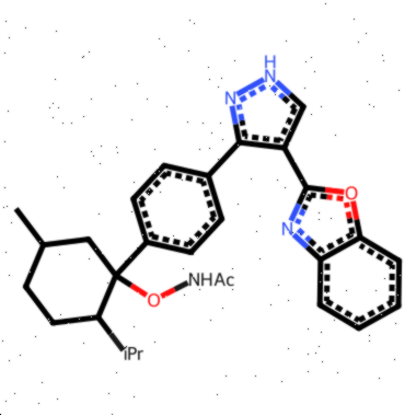 CC(=O)NOC1(c2ccc(-c3n[nH]cc3-c3nc4ccccc4o3)cc2)CC(C)CCC1C(C)C